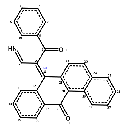 N=C/C(C(=O)c1ccccc1)=C1\c2ccccc2C(=O)c2c1ccc1ccccc21